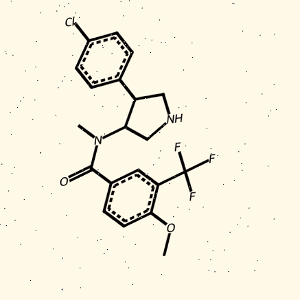 COc1ccc(C(=O)N(C)C2CNCC2c2ccc(Cl)cc2)cc1C(F)(F)F